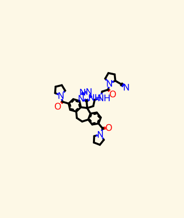 N#CC1CCCN1C(=O)CNCCC1(c2nnn[nH]2)c2ccc(C(=O)N3CCCC3)cc2CCc2cc(C(=O)N3CCCC3)ccc21